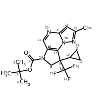 CC(C)(C)OC(=O)N1CC(C2CC2)(C(F)(F)F)c2c1cnc1cc(Cl)nn21